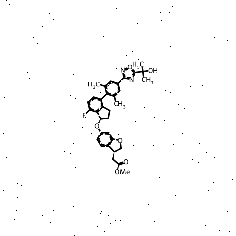 COC(=O)C[C@@H]1COc2cc(O[C@@H]3CCc4c(-c5c(C)cc(-c6noc(C(C)(C)O)n6)cc5C)ccc(F)c43)ccc21